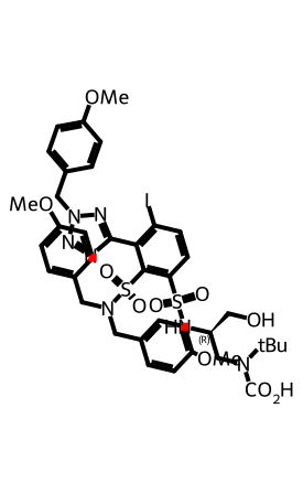 COc1ccc(CN(Cc2ccc(OC)cc2)S(=O)(=O)c2c(S(=O)(=O)N[C@@H](CO)CN(C(=O)O)C(C)(C)C)ccc(I)c2-c2nnn(Cc3ccc(OC)cc3)n2)cc1